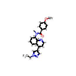 CC(C)Oc1ccc(C(=O)N(C)c2cccc3c(-c4cnn(CC(F)(F)F)c4)ccnc23)cc1